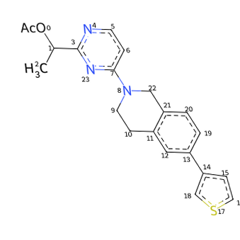 CC(=O)OC(C)c1nccc(N2CCc3cc(-c4ccsc4)ccc3C2)n1